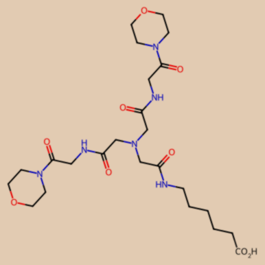 O=C(O)CCCCCNC(=O)CN(CC(=O)NCC(=O)N1CCOCC1)CC(=O)NCC(=O)N1CCOCC1